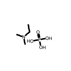 CCN(C)C.O=P(O)(O)O